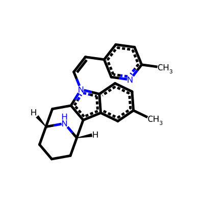 Cc1ccc2c(c1)c1c(n2/C=C\c2ccc(C)nc2)C[C@H]2CCC[C@@H]1N2